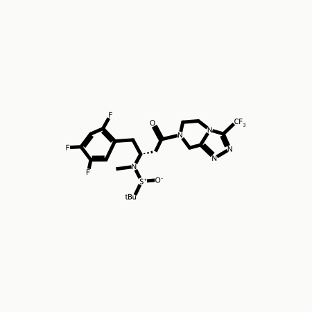 CN([C@@H](CC(=O)N1CCn2c(nnc2C(F)(F)F)C1)Cc1cc(F)c(F)cc1F)[S+]([O-])C(C)(C)C